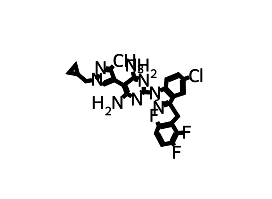 Cc1nn(CC2CC2)cc1-c1c(N)nc(-n2nc(Cc3c(F)ccc(F)c3F)c3cc(Cl)ccc32)nc1N